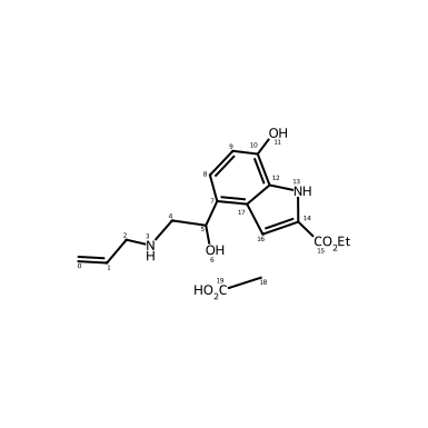 C=CCNCC(O)c1ccc(O)c2[nH]c(C(=O)OCC)cc12.CC(=O)O